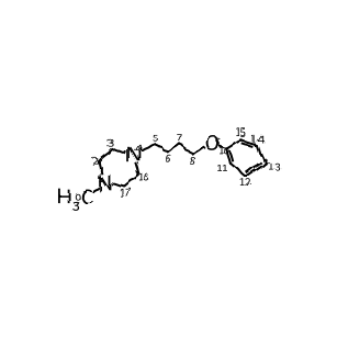 CN1CCN(CCCCOc2cc[c]cc2)CC1